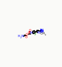 Cn1nnnc1-c1ccc(-c2ccc(N3C[C@H](COC(=O)CCN)OC3=O)cc2F)cn1